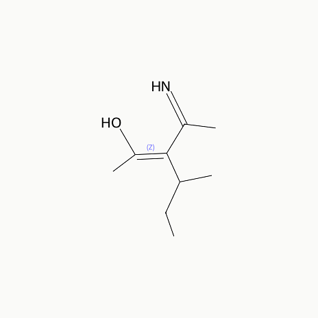 CCC(C)/C(C(C)=N)=C(\C)O